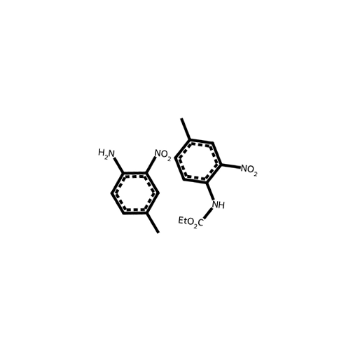 CCOC(=O)Nc1ccc(C)cc1[N+](=O)[O-].Cc1ccc(N)c([N+](=O)[O-])c1